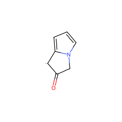 O=C1[CH]c2cccn2C1